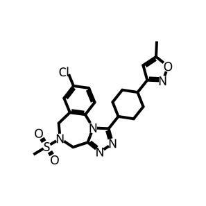 Cc1cc(C2CCC(c3nnc4n3-c3ccc(Cl)cc3CN(S(C)(=O)=O)C4)CC2)no1